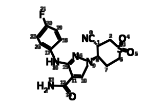 N#C[C@@H]1CS(=O)(=O)CC[C@H]1n1cc(C(N)=O)c(Nc2ccc(F)cc2)n1